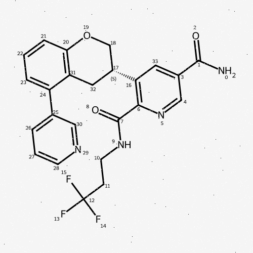 NC(=O)c1cnc(C(=O)NCCC(F)(F)F)c([C@H]2COc3cccc(-c4cccnc4)c3C2)c1